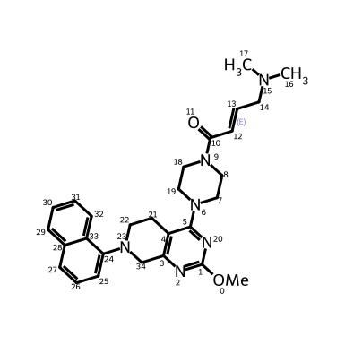 COc1nc2c(c(N3CCN(C(=O)/C=C/CN(C)C)CC3)n1)CCN(c1cccc3ccccc13)C2